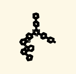 CC1C=CC(c2ccc(-c3nc(-c4ccc(-c5ccccc5)cc4)nc(-c4ccc5c(c4)oc4c(-n6c7c(c8c(-c9ccccc9)cccc86)C=CCC7)cccc45)n3)cc2)=CC1